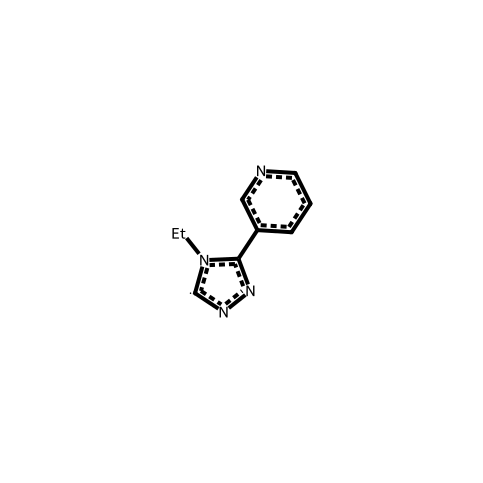 CCn1[c]nnc1-c1cccnc1